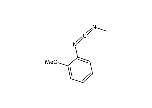 CN=C=Nc1ccccc1OC